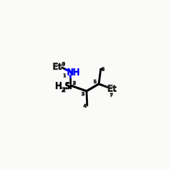 CCN[SiH2]C(C)C(C)CC